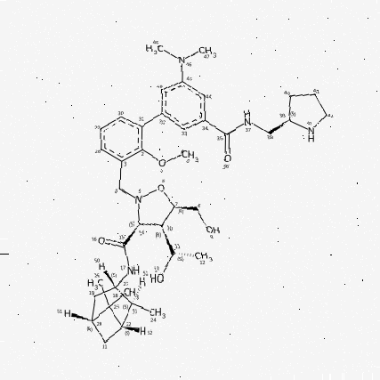 COc1c(CN2O[C@@H](CO)[C@@H]([C@H](C)O)[C@H]2C(=O)N[C@H]2C[C@H]3C[C@@H]([C@@H]2C)C3(C)C)cccc1-c1cc(C(=O)NC[C@H]2CCCN2)cc(N(C)C)c1